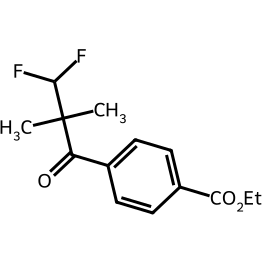 CCOC(=O)c1ccc(C(=O)C(C)(C)C(F)F)cc1